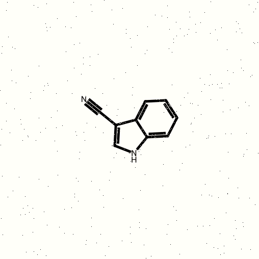 N#Cc1[c][nH]c2ccccc12